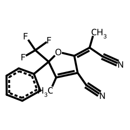 CC1=C(C#N)/C(=C(/C)C#N)OC1(c1ccccc1)C(F)(F)F